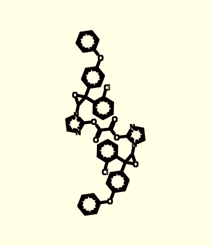 O=C(Oc1nccn1C1OC1(c1ccc(Oc2ccccc2)cc1)c1ccccc1Cl)C(=O)Oc1nccn1C1OC1(c1ccc(Oc2ccccc2)cc1)c1ccccc1Cl